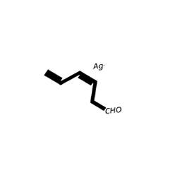 C=C/C=C\CC=O.[Ag]